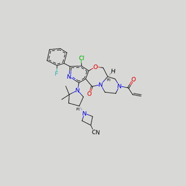 C=CC(=O)N1CCN2C(=O)c3c(N4C[C@H](N5CC(C#N)C5)CC4(C)C)nc(-c4ccccc4F)c(Cl)c3OC[C@H]2C1